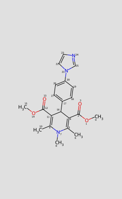 COC(=O)C1=C(C)N(C)C(C)=C(C(=O)OC)C1c1ccc(-n2ccnc2)cc1